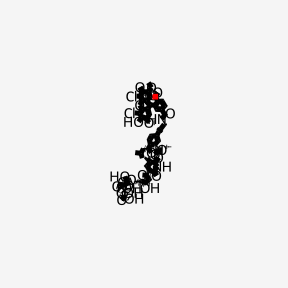 COc1cc2c(-c3cc(C(=O)NCC#Cc4ccc([C@H](CC(C)C)OCc5cn([C@H]6C[C@@H](O)[C@@H](COP(=O)(O)OP(=O)(O)OP(=O)(O)O)O6)c(=O)[nH]c5=O)c([N+](=O)[O-])c4)ccc3C(=O)O)c3cc(OC)c(=O)c(Cl)c-3oc2c(Cl)c1O